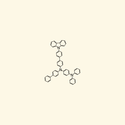 c1ccc(-c2ccc(N(c3ccc(-c4ccc(-n5c6ccccc6c6ccccc65)cc4)cc3)c3ccc(N(c4ccccc4)c4ccccc4)cc3)cc2)cc1